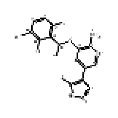 Cc1[nH]ncc1-c1cnc(N)c(OC(C)c2c(Cl)ccc(F)c2Cl)c1